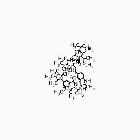 C=C(C)CC(CC)C(C(C)CC)N(C)C(=C)CNC(=C)C(C(C)C)N(C)C(=C)CCc1ccc(NC(=C)CNC(=C)C(NC(=C)c2cc(CC)cc(N3C(=C)C(C)C(C)C3=C)c2)C(C)C)cc1